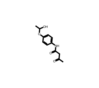 CC(=O)CC(=O)Nc1ccc(OC(C)O)cc1